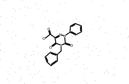 O=C(Cl)c1nn(-c2ccccc2)c(=O)n(Cc2ccccc2)c1=O